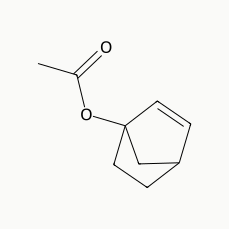 CC(=O)OC12C=CC(CC1)C2